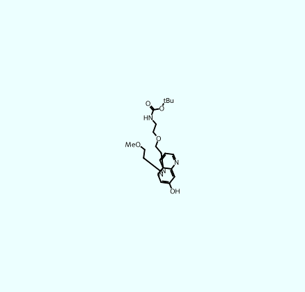 COCCC1N=C2C=C(O)C=C3N=CC=CC32N1CCOCCNC(=O)OC(C)(C)C